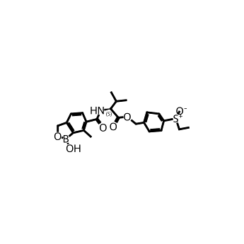 CC[S+]([O-])c1ccc(COC(=O)[C@@H](NC(=O)c2ccc3c(c2C)B(O)OC3)C(C)C)cc1